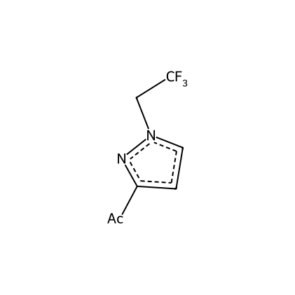 CC(=O)c1ccn(CC(F)(F)F)n1